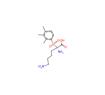 Cc1ccc(S(=O)(=O)[C@](N)(CCCCN)C(=O)O)c(C)c1C